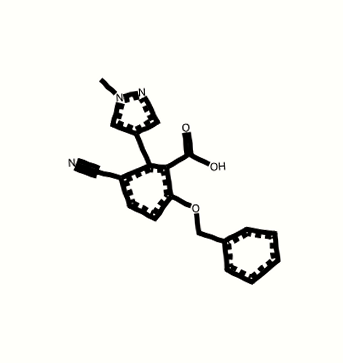 Cn1cc(-c2c(C#N)ccc(OCc3ccccc3)c2C(=O)O)cn1